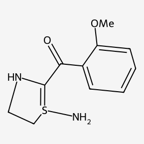 COc1ccccc1C(=O)C1=S(N)CCN1